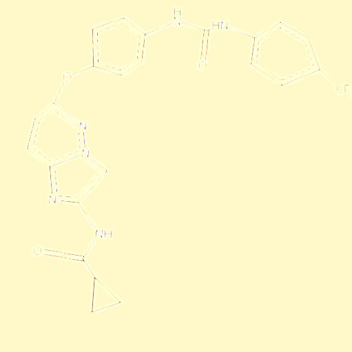 O=C(Nc1ccc(Oc2ccc3nc(NC(=O)C4CC4)cn3n2)cc1)Nc1ccc(C(F)(F)F)cc1